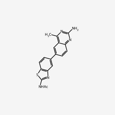 CC(=O)Nc1nc2cc(-c3ccc4nc(N)nc(C)c4c3)ccc2s1